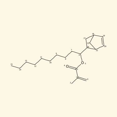 C=C(C)C(=O)OC(CCCCCCCCC)C1CC2C=CC1C2